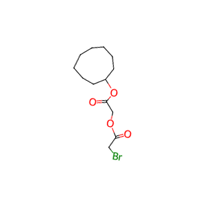 O=C(CBr)OCC(=O)OC1CCCCCCCC1